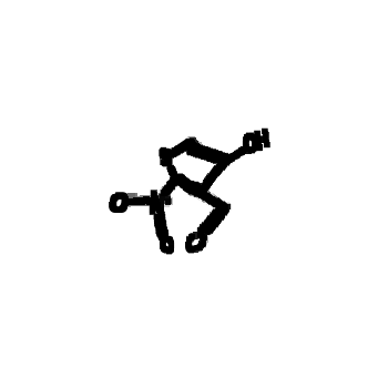 O=Cc1c(O)csc1[N+](=O)[O-]